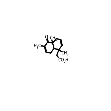 CC1=CCC2C(C)(CC(=O)O)C=CCC2(C)C1=O